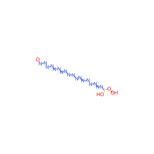 O=N/N=N/N=N/N=N/N=N/N=N/N=N/N=N/N=N/N=S(\O)OO